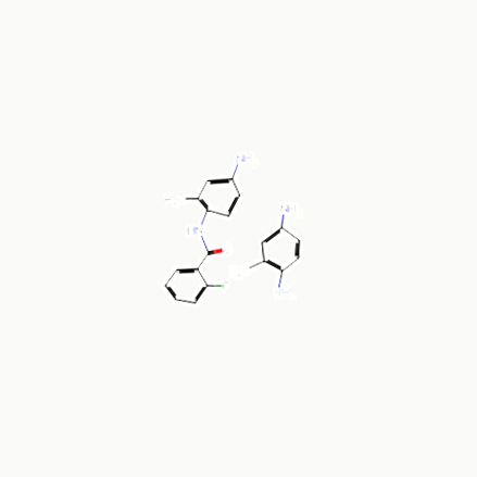 Cc1cc(N)ccc1NC(=O)c1ccccc1F.Nc1ccc(N)c(C(F)(F)F)c1